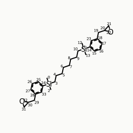 C[Si](C)(CCCCCCCC[Si](C)(C)c1cccc(CC2CO2)c1)c1cccc(CC2CO2)c1